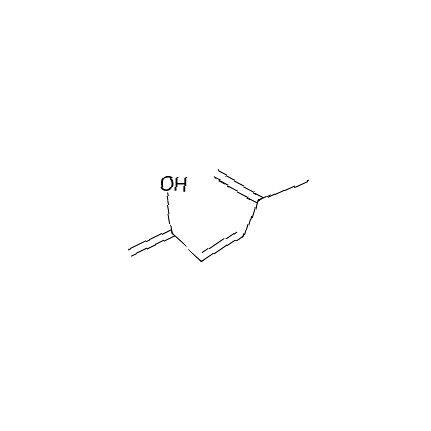 C=C(C)/C=C\C(=C)O